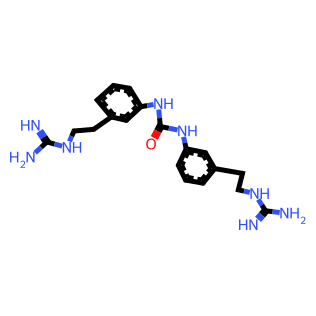 N=C(N)NCCc1cccc(NC(=O)Nc2cccc(CCNC(=N)N)c2)c1